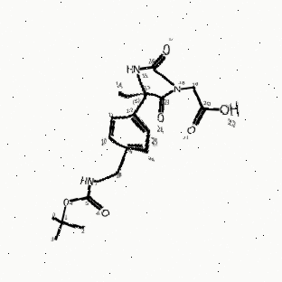 CC(C)(C)OC(=O)NCc1ccc([C@]2(C)NC(=O)N(CC(=O)O)C2=O)cc1